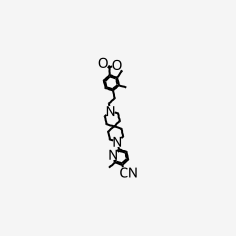 Cc1nc(N2CCC3(CCN(CCc4ccc5c(c4C)COC5=O)CC3)CC2)ccc1C#N